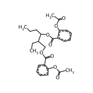 CCCC(OC(=O)c1ccccc1OC(C)=O)C(CC)COC(=O)c1ccccc1OC(C)=O